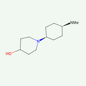 CN[C@H]1CC[C@@H](N2CCC(O)CC2)CC1